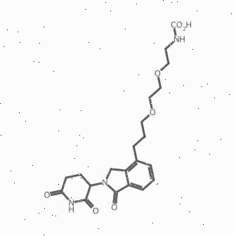 O=C(O)NCCOCCOCCCc1cccc2c1CN(C1CCC(=O)NC1=O)C2=O